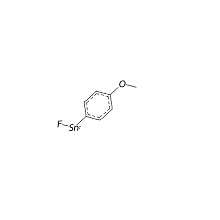 COc1cc[c]([Sn][F])cc1